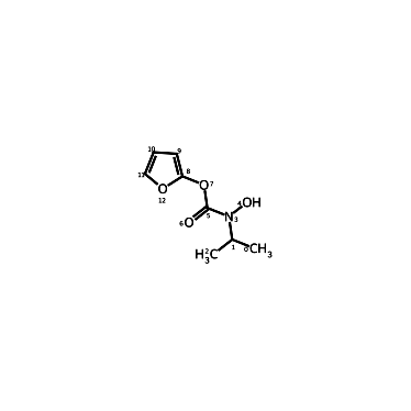 CC(C)N(O)C(=O)Oc1ccco1